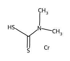 CN(C)C(=S)S.[Cr]